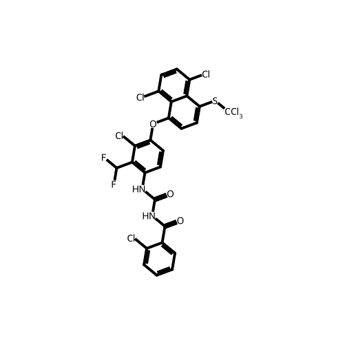 O=C(NC(=O)c1ccccc1Cl)Nc1ccc(Oc2ccc(SC(Cl)(Cl)Cl)c3c(Cl)ccc(Cl)c23)c(Cl)c1C(F)F